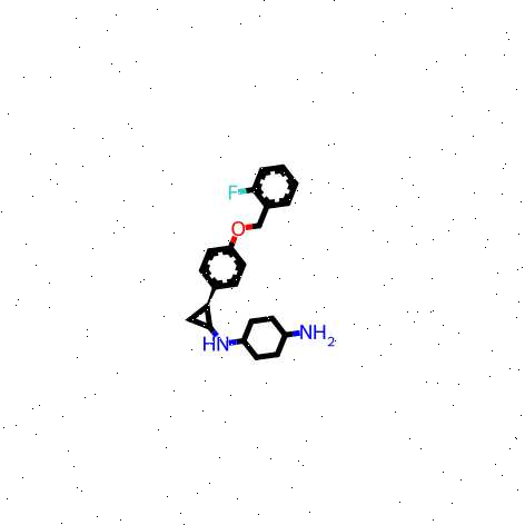 NC1CCC(NC2C[C@H]2c2ccc(OCc3ccccc3F)cc2)CC1